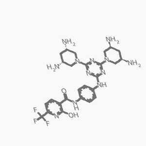 N[C@@H]1C[C@H](N)CN(c2nc(Nc3ccc(NC(=O)c4ccc(C(F)(F)F)nc4O)cc3)nc(N3C[C@H](N)C[C@H](N)C3)n2)C1